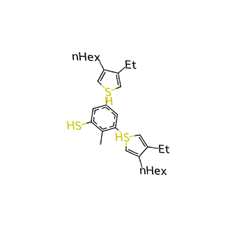 CCCCCCC1=C[SH](c2cc(S)c(C)c([SH]3C=C(CC)C(CCCCCC)=C3)c2)C=C1CC